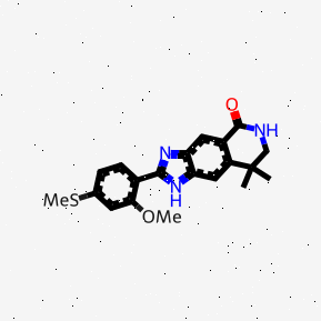 COc1cc(SC)ccc1-c1nc2cc3c(cc2[nH]1)C(C)(C)CNC3=O